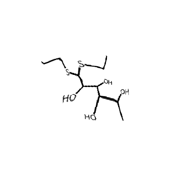 CCSC(SCC)C(O)C(O)C(O)C(C)O